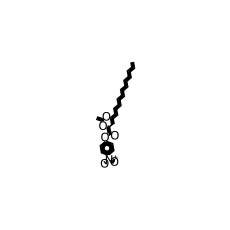 CCCCCCCCCCCCCC[C@H](OC(C)=O)C(=O)Oc1ccc([N+](=O)[O-])cc1